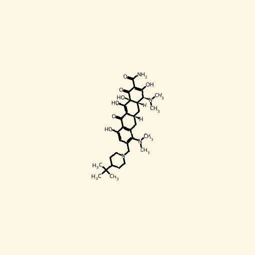 CN(C)c1c(CN2CCC(C(C)(C)C)CC2)cc(O)c2c1C[C@H]1C[C@H]3[C@H](N(C)C)C(O)=C(C(N)=O)C(=O)[C@@]3(O)C(O)=C1C2=O